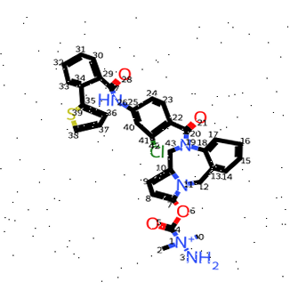 C[N+](C)(N)C(=O)Oc1ccc2n1Cc1ccccc1N(C(=O)c1ccc(NC(=O)c3ccccc3-c3cccs3)cc1Cl)C2